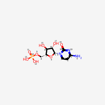 Nc1ccn([C@@H]2O[C@H](COP(=O)(O)O)C(O)[C@@H]2O)c(=O)n1